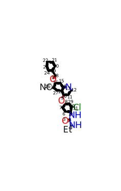 CCNC(=O)Nc1ccc(Oc2ccnc3cc(OCc4ccccc4)c(C#N)cc23)cc1Cl